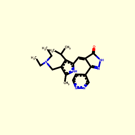 CCN(CC)Cc1c(C)[nH]c(/C=C2/C(=O)NN=C2c2ccnnc2)c1C(C)C